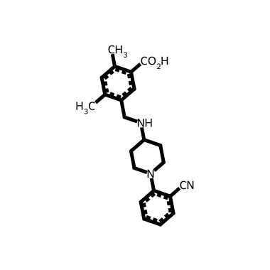 Cc1cc(C)c(C(=O)O)cc1CNC1CCN(c2ccccc2C#N)CC1